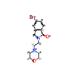 O=C1c2ccc(Br)cc2CN1CCN1CCOCC1